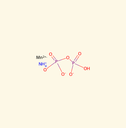 O=P([O-])([O-])OP(=O)([O-])O.[Mn+2].[NH4+]